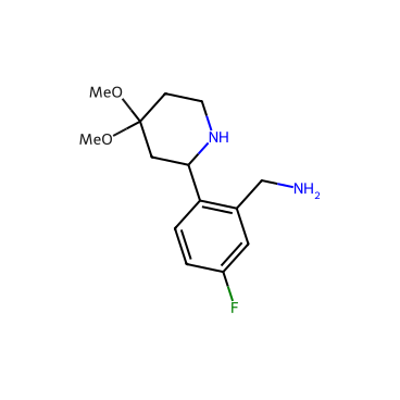 COC1(OC)CCNC(c2ccc(F)cc2CN)C1